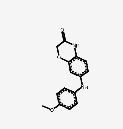 COc1ccc(Nc2ccc3c(c2)OCC(=O)N3)cc1